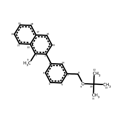 Cc1c(-c2cccc(COC(C)(C)C)c2)ccc2ccccc12